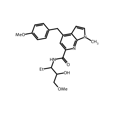 CCC(NC(=O)c1cc(Cc2ccc(OC)cc2)c2ccn(C)c2n1)C(O)COC